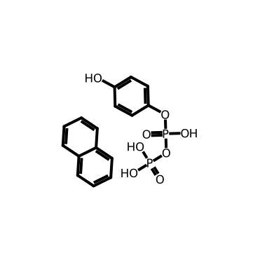 O=P(O)(O)OP(=O)(O)Oc1ccc(O)cc1.c1ccc2ccccc2c1